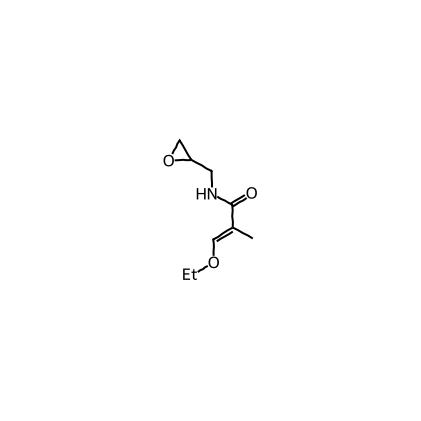 CCOC=C(C)C(=O)NCC1CO1